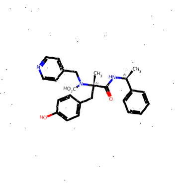 C[C@H](NC(=O)[C@](C)(Cc1ccc(O)cc1)N(Cc1ccncc1)C(=O)O)c1ccccc1